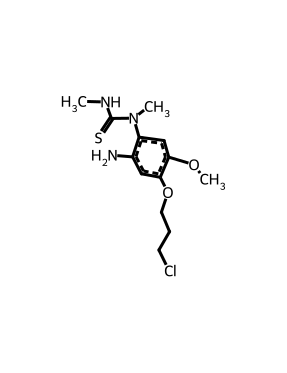 CNC(=S)N(C)c1cc(OC)c(OCCCCl)cc1N